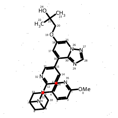 COc1ccc(CN2C3CC2CN(c2ccc(-c4cc(OCC(C)(C)O)cn5ncnc45)cn2)C3)cn1